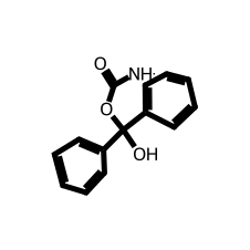 [NH]C(=O)OC(O)(c1ccccc1)c1ccccc1